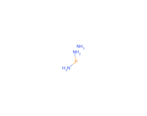 N.N[P]N